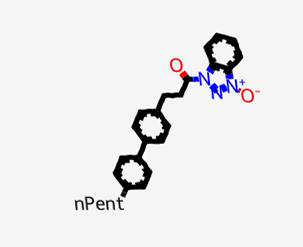 CCCCCc1ccc(-c2ccc(CCC(=O)n3n[n+]([O-])c4ccccc43)cc2)cc1